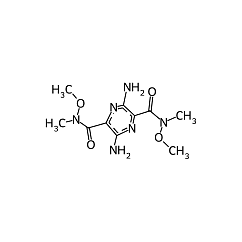 CON(C)C(=O)c1nc(N)c(C(=O)N(C)OC)nc1N